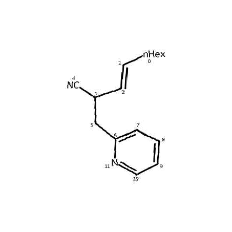 CCCCCCC=CC(C#N)Cc1ccccn1